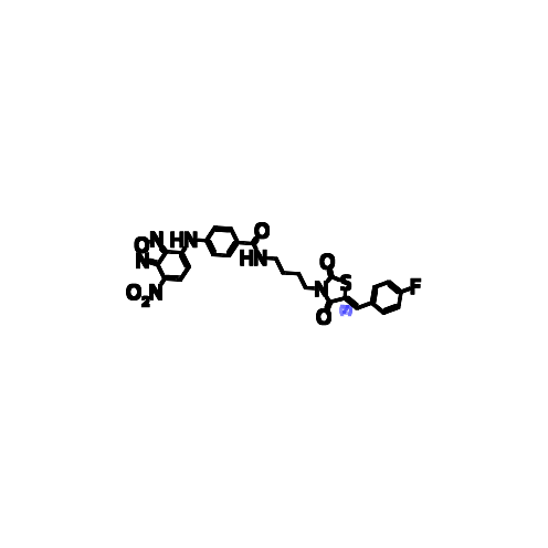 O=C(NCCCCN1C(=O)S/C(=C\c2ccc(F)cc2)C1=O)c1ccc(Nc2ccc([N+](=O)[O-])c3nonc23)cc1